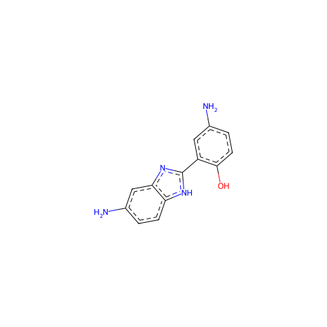 Nc1ccc(O)c(-c2nc3cc(N)ccc3[nH]2)c1